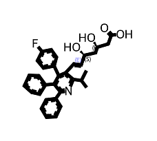 CC(C)c1nc(-c2ccccc2)c(-c2ccccc2)c(-c2ccc(F)cc2)c1/C=C/[C@@H](O)C[C@@H](O)CC(=O)O